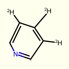 [2H]c1[c]ncc([2H])c1[2H]